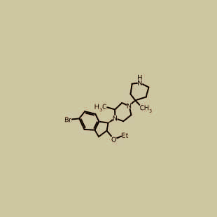 CCOC1Cc2cc(Br)ccc2[C@H]1N1CCN(C2(C)CCNCC2)CC1C